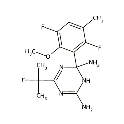 COc1c(F)cc(C)c(F)c1C1(N)N=C(C(C)(C)F)N=C(N)N1